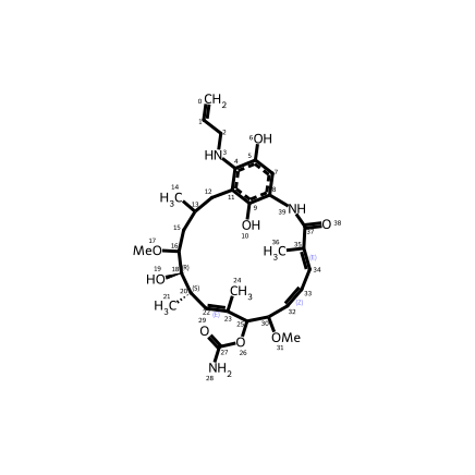 C=CCNc1c(O)cc2c(O)c1CC(C)CC(OC)[C@H](O)[C@@H](C)/C=C(\C)C(OC(N)=O)C(OC)/C=C\C=C(/C)C(=O)N2